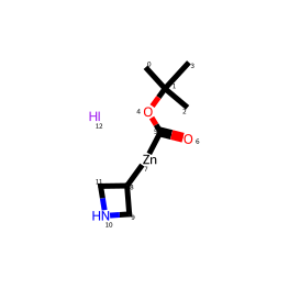 CC(C)(C)O[C](=O)[Zn][CH]1CNC1.I